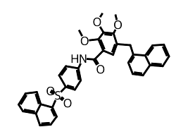 COc1c(Cc2cccc3ccccc23)cc(C(=O)Nc2ccc(S(=O)(=O)c3cccc4ccccc34)cc2)c(OC)c1OC